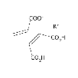 C=CC(=O)[O-].O=C(O)/C=C\C(=O)O.[K+]